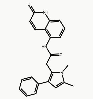 Cc1cc(-c2ccccc2)c(CC(=O)Nc2cccc3[nH]c(=O)ccc23)n1C